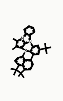 Cc1c2c3n(c4ccccc4n3c1C)-c1cc(C(C)(C)C)cc3c1B2c1ccc2c4c(ccc-3c14)C(C)(C)C2(C)C